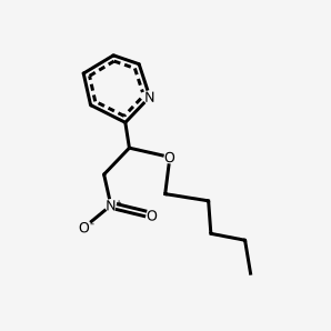 CCCCCOC(C[N+](=O)[O-])c1ccccn1